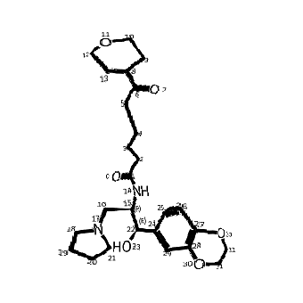 O=C(CCCCC(=O)C1CCOCC1)N[C@H](CN1CCCC1)[C@H](O)c1ccc2c(c1)OCCO2